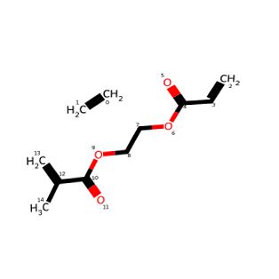 C=C.C=CC(=O)OCCOC(=O)C(=C)C